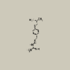 CC(C)CSc1ccc(CC=NNC(=N)N)cc1